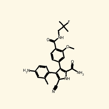 COc1cc(-c2c(C(N)=O)[nH]c(C#N)c2-c2ccc(N)cc2C)ccc1C(=O)NCC(C)(C)F